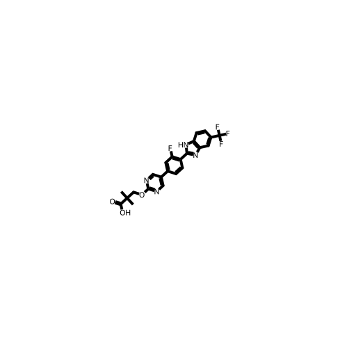 CC(C)(COc1ncc(-c2ccc(-c3nc4cc(C(F)(F)F)ccc4[nH]3)c(F)c2)cn1)C(=O)O